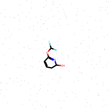 OC1CC=CC(OC(F)F)=N1